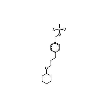 CS(=O)(=O)OCc1ccc(CCCOC2CCCCO2)cc1